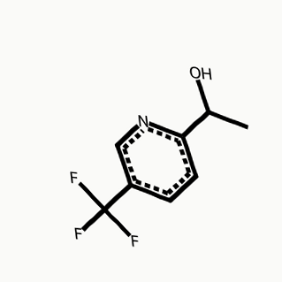 CC(O)c1ccc(C(F)(F)F)cn1